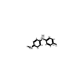 CN=C1C=CC(Nc2ccc(C)cc2)=CC1